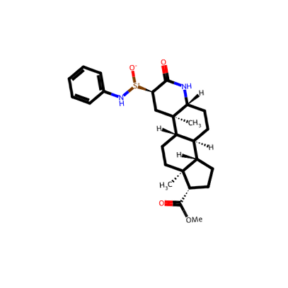 COC(=O)[C@H]1CC[C@H]2[C@@H]3CC[C@H]4NC(=O)[C@H]([S+]([O-])Nc5ccccc5)C[C@]4(C)[C@H]3CC[C@]12C